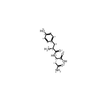 NC(=O)C[C@H](NC(=O)[C@@H](N)Cc1ccc(O)cc1)C(=O)O